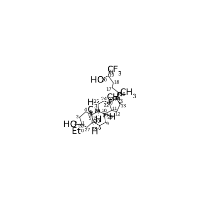 CC[C@]1(O)CC[C@@]2(C)[C@@H](CC[C@H]3C4CC[C@H]([C@H](C)CCC(O)C(F)(F)F)[C@@]4(C)CC[C@@H]32)C1